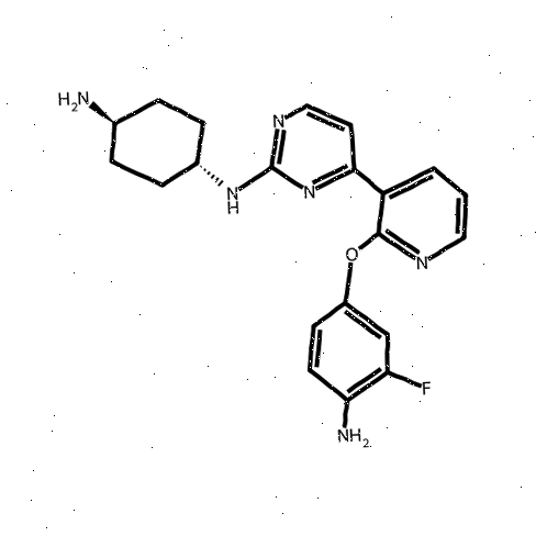 Nc1ccc(Oc2ncccc2-c2ccnc(N[C@H]3CC[C@H](N)CC3)n2)cc1F